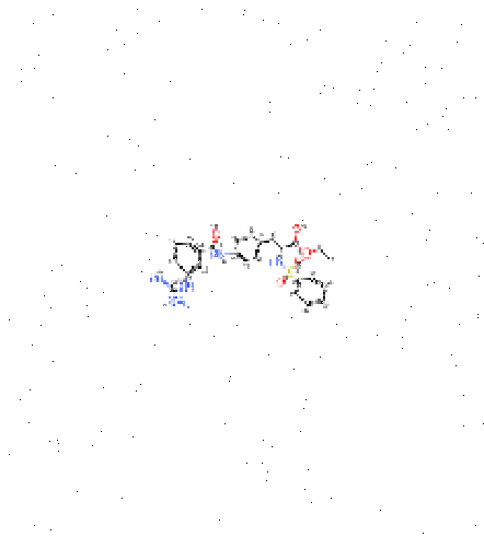 CCOC(=O)C(Cc1ccc(NC(=O)c2cccc(NC(=N)N)c2)cc1)NS(=O)(=O)c1ccccc1